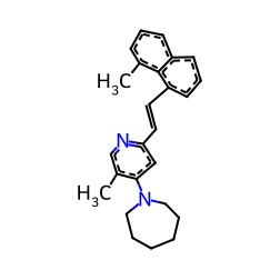 Cc1cnc(C=Cc2cccc3cccc(C)c23)cc1N1CCCCCC1